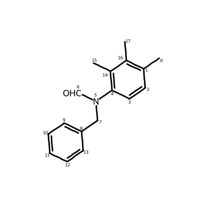 Cc1ccc(N(C=O)Cc2ccccc2)c(C)c1C